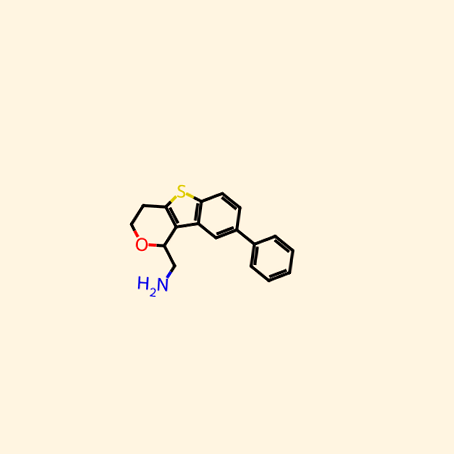 NCC1OCCc2sc3ccc(-c4ccccc4)cc3c21